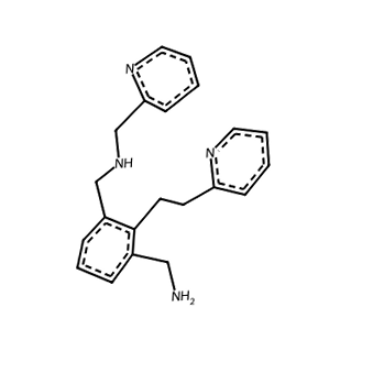 NCc1cccc(CNCc2ccccn2)c1CCc1ccccn1